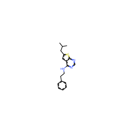 CC(C)Cc1cc2c(NCCc3ccccc3)ncnc2s1